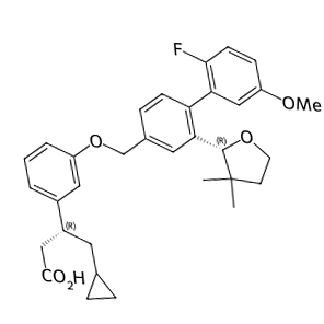 COc1ccc(F)c(-c2ccc(COc3cccc([C@@H](CC(=O)O)CC4CC4)c3)cc2[C@@H]2OCCC2(C)C)c1